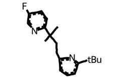 CC(C)(C)c1cccc(CCC(C)(C)c2ccc(F)cn2)n1